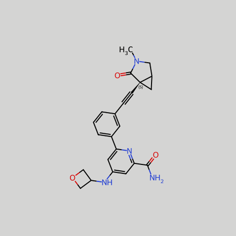 CN1CC2C[C@]2(C#Cc2cccc(-c3cc(NC4COC4)cc(C(N)=O)n3)c2)C1=O